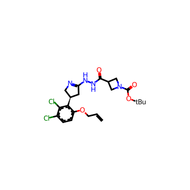 C=CCOc1ccc(Cl)c(Cl)c1[C@H]1CN=C(NNC(=O)C2CN(C(=O)OC(C)(C)C)C2)C1